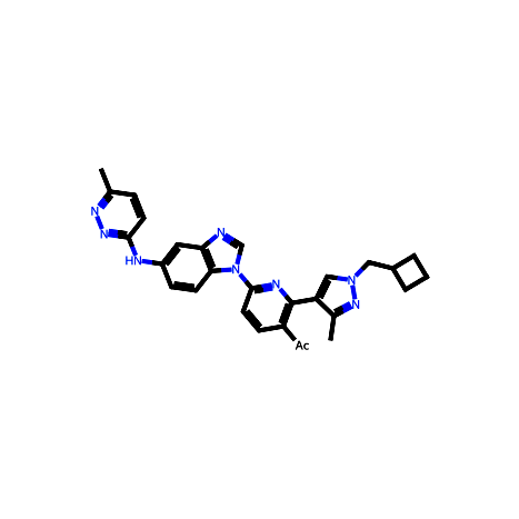 CC(=O)c1ccc(-n2cnc3cc(Nc4ccc(C)nn4)ccc32)nc1-c1cn(CC2CCC2)nc1C